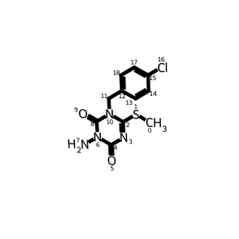 CSc1nc(=O)n(N)c(=O)n1Cc1ccc(Cl)cc1